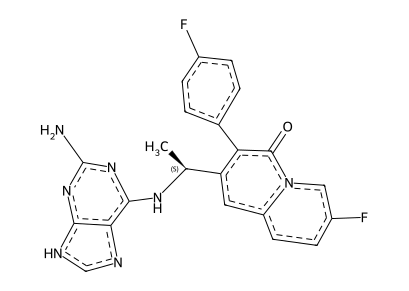 C[C@H](Nc1nc(N)nc2[nH]cnc12)c1cc2ccc(F)cn2c(=O)c1-c1ccc(F)cc1